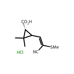 CSC(C#N)=CC1[C@@H](C(=O)O)C1(C)C.Cl